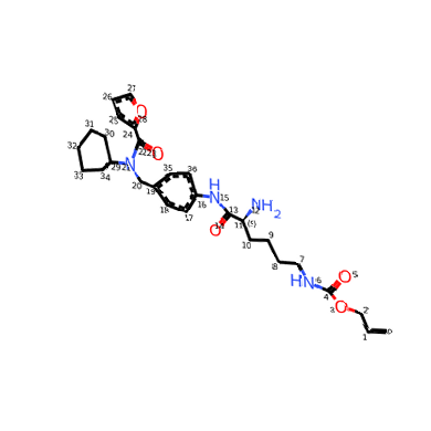 C=CCOC(=O)NCCCC[C@H](N)C(=O)Nc1ccc(CN(C(=O)c2ccco2)C2CCCCC2)cc1